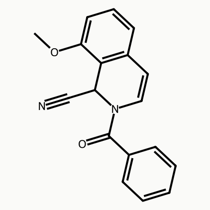 COc1cccc2c1C(C#N)N(C(=O)c1ccccc1)C=C2